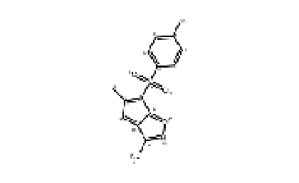 CC1=C(S(=O)(=O)c2ccc(C)cc2)C2=NN=C(C#N)C2=C1